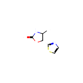 CC1NC(=O)O[C@H]1c1nccs1